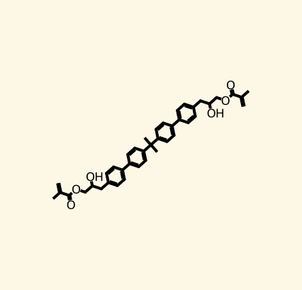 C=C(C)C(=O)OCC(O)Cc1ccc(-c2ccc(C(C)(C)c3ccc(-c4ccc(CC(O)COC(=O)C(=C)C)cc4)cc3)cc2)cc1